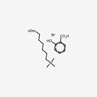 CCCCCCCCCCCCCCCC[N+](C)(C)C.O=C(O)c1ccccc1O.[Br-]